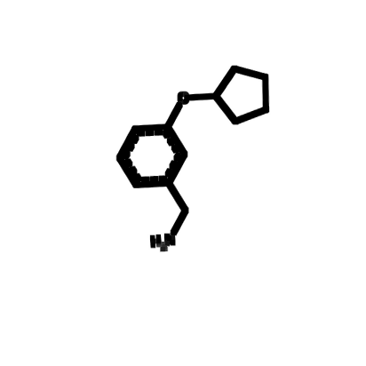 NCc1cccc(OC2CCCC2)c1